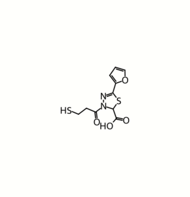 O=C(O)C1SC(c2ccco2)=NN1C(=O)CCS